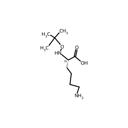 CC(C)(C)ON[C@@H](CCCCN)C(=O)O